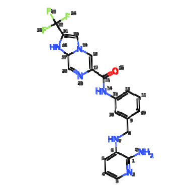 Nc1ncccc1NCc1cccc(NC(=O)C2=CN3C=C(C(F)(F)F)NC3C=N2)c1